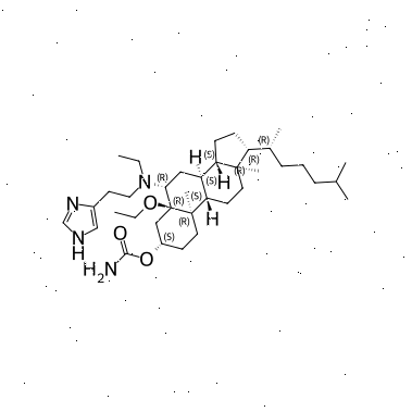 CCO[C@]12C[C@@H](OC(N)=O)CC[C@]1(C)[C@H]1CC[C@]3(C)[C@@H]([C@H](C)CCCC(C)C)CC[C@H]3[C@@H]1C[C@H]2N(CC)CCc1c[nH]cn1